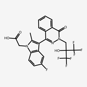 Cc1c(-c2nn(CC(O)(C(F)(F)F)C(F)(F)F)c(=O)c3ccccc23)c2cc(F)ccc2n1CC(=O)O